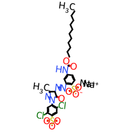 CCCCCCCCCCCCOC(=O)Nc1ccc(S(=O)(=O)[O-])c(N=NC2C(=O)N(c3cc(Cl)c(S(=O)(=O)[O-])cc3Cl)N=C2C)c1.[Na+].[Na+]